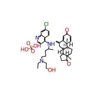 C=C1C[C@@H]2[C@H](CC[C@]3(C)C(=O)CC[C@@H]23)[C@@]2(C)C=CC(=O)C=C12.CCN(CCO)CCCC(C)Nc1ccnc2cc(Cl)ccc12.O=S(=O)(O)O